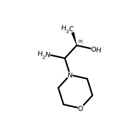 C[C@@H](O)C(N)N1CCOCC1